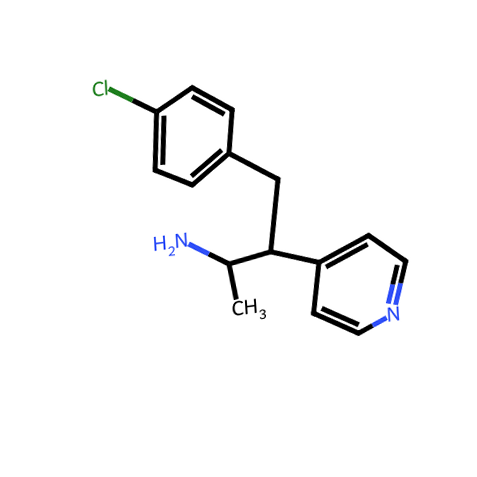 CC(N)C(Cc1ccc(Cl)cc1)c1ccncc1